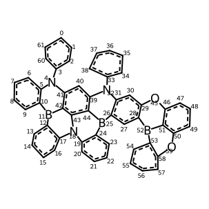 c1ccc(N2c3ccccc3B3c4ccccc4N4c5ccccc5B5c6cc7c(cc6N(c6ccccc6)c6cc2c3c4c65)Oc2cccc3c2B7c2ccccc2O3)cc1